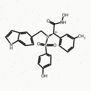 Cc1cccc([C@H](C(=O)NO)N(Cc2ccc3[nH]ccc3c2)S(=O)(=O)c2ccc(O)cc2)c1